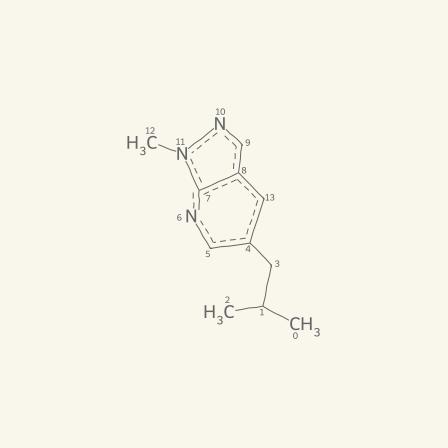 CC(C)Cc1cnc2c(cnn2C)c1